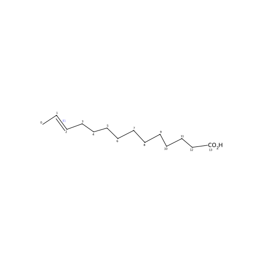 C/C=C/CCCCCCCCCCC(=O)O